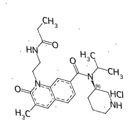 CCC(=O)NCCn1c(=O)c(C)cc2ccc(C(=O)N(C(C)C)[C@@H]3CCCNC3)cc21.Cl